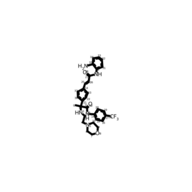 CC(NCCN1CCOCC1)(C(=O)Nc1ccc(C(F)(F)F)cc1)c1ccc(C=CC(=O)Nc2ccccc2N)cc1